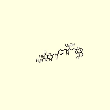 Nc1nc2ncc(CNc3ccc(CNC(CCC(=O)ON4C(=O)CCC4=O)C(=O)O)cc3)nc2c(=O)[nH]1